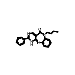 CCCCN1C(=O)C2=CN=C(c3ccccc3)NC2=Nc2ccccc21